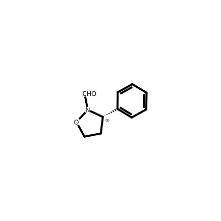 O=CN1OCC[C@H]1c1ccccc1